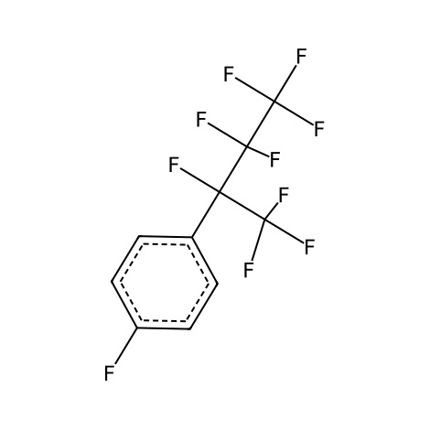 Fc1ccc(C(F)(C(F)(F)F)C(F)(F)C(F)(F)F)cc1